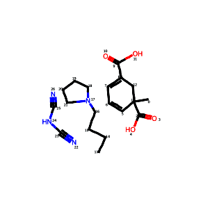 CC1(C(=O)O)C=CC=C(C(=O)O)C1.CCCCN1CCCC1.N#CNC#N